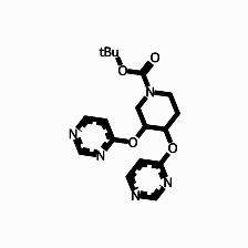 CC(C)(C)OC(=O)N1CCC(Oc2ccncn2)C(Oc2ccncn2)C1